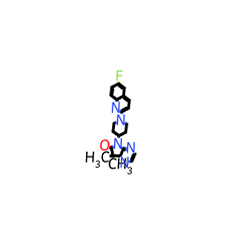 CC1(C)C(=O)N(C2CCN(c3ccc4cc(F)ccc4n3)CC2)c2nccnc21